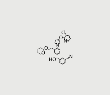 N#Cc1cccc(C(O)c2ccc(N3CC[C@H](Oc4ncccc4Cl)C3)c(CCOC3CCCCO3)c2)c1